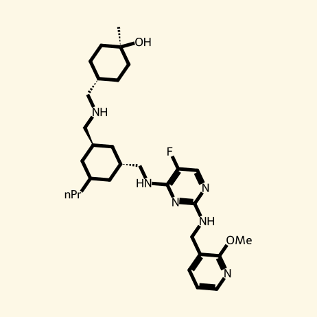 CCCC1C[C@@H](CNC[C@H]2CC[C@](C)(O)CC2)C[C@H](CNc2nc(NCc3cccnc3OC)ncc2F)C1